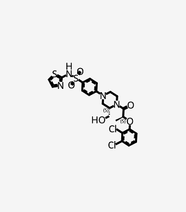 C[C@H](Oc1cccc(Cl)c1Cl)C(=O)N1CCN(c2ccc(S(=O)(=O)Nc3nccs3)cc2)C[C@H]1CO